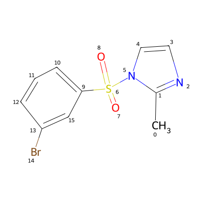 Cc1nccn1S(=O)(=O)c1cccc(Br)c1